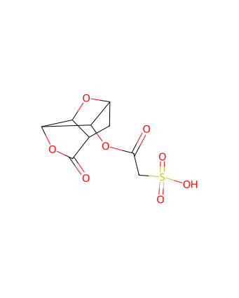 O=C(CS(=O)(=O)O)OC1C2CC3C(=O)OC1C3O2